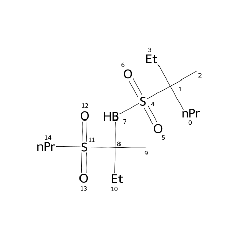 CCCC(C)(CC)S(=O)(=O)BC(C)(CC)S(=O)(=O)CCC